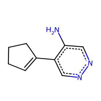 Nc1cnncc1C1=CCCC1